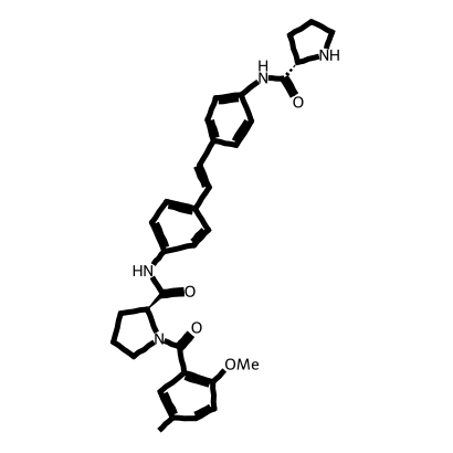 COc1ccc(C)cc1C(=O)N1CCC[C@H]1C(=O)Nc1ccc(/C=C/c2ccc(NC(=O)[C@@H]3CCCN3)cc2)cc1